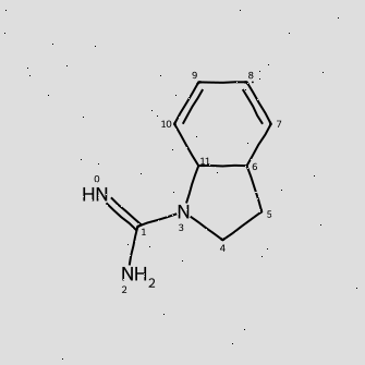 N=C(N)N1CCC2C=[C]C=CC21